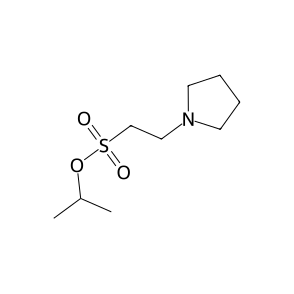 CC(C)OS(=O)(=O)CCN1CCCC1